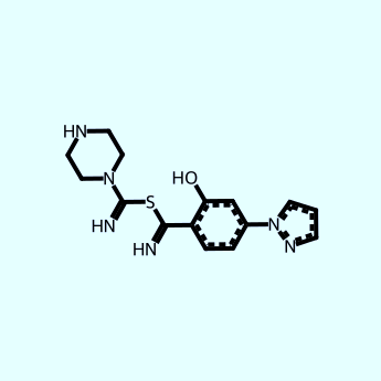 N=C(SC(=N)N1CCNCC1)c1ccc(-n2cccn2)cc1O